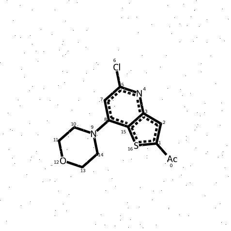 CC(=O)c1cc2nc(Cl)cc(N3CCOCC3)c2s1